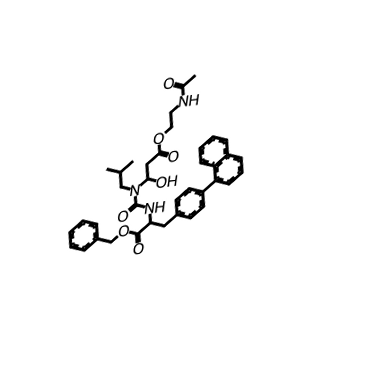 CC(=O)NCCOC(=O)CC(O)N(CC(C)C)C(=O)NC(Cc1ccc(-c2cccc3ccccc23)cc1)C(=O)OCc1ccccc1